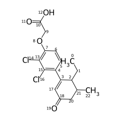 CCC1C(c2ccc(OCC(=O)O)c(Cl)c2Cl)=CC(=O)CC1C